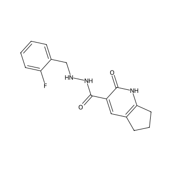 O=C(NNCc1ccccc1F)c1cc2c([nH]c1=O)CCC2